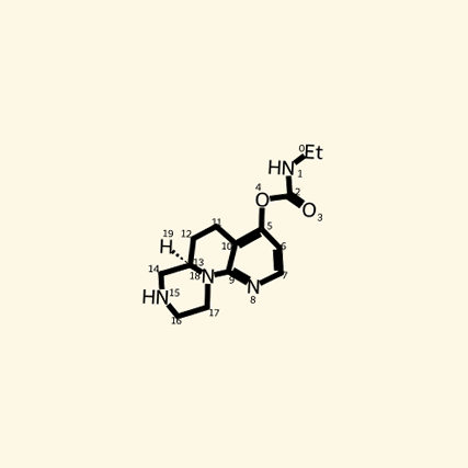 CCNC(=O)Oc1ccnc2c1CC[C@@H]1CNCCN21